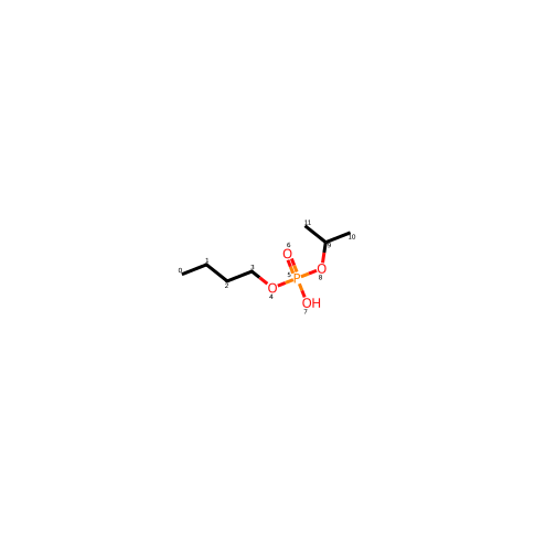 CCCCOP(=O)(O)OC(C)C